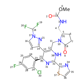 COC(=O)NC[C@@H]1CCC(=O)N1CC1=C(c2ccn(C(F)F)n2)[C@H](c2ccc(F)cc2Cl)N=C(c2nccs2)N1